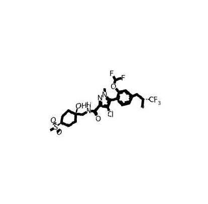 C[C@H](Cc1ccc(-c2c(Cl)c(C(=O)NC[C@]3(O)CC[C@@H](S(C)(=O)=O)CC3)nn2C)c(OC(F)F)c1)C(F)(F)F